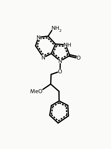 COC(COn1c(=O)[nH]c2c(N)ncnc21)Cc1ccccc1